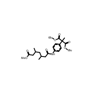 COC(=O)CC(C)CC(C)CC(=O)Nc1ccc(C(C)(C(=O)OC(C)(C)C)C(=O)OC(C)(C)C)cc1